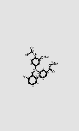 COc1cc(N(Cc2c(F)cccc2F)c2cccc(C(=O)OC(C)(C)C)c2)ccc1OC(F)F